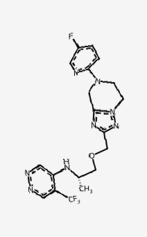 C[C@@H](COCc1nc2n(n1)CCN(c1ccc(F)cn1)C2)Nc1cnncc1C(F)(F)F